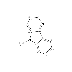 Nn1c2ccccc2c2ncccc21